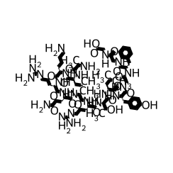 CC(C)C[C@H](NC(=O)[C@H](C)N)C(=O)N[C@@H](CCCCN)C(=O)N[C@@H](CCCN=C(N)N)C(=O)N[C@@H](CCC(N)=O)C(=O)NCC(=O)N[C@@H](CCCN=C(N)N)C(=O)N[C@H](C(=O)N[C@@H](CC(C)C)C(=O)N[C@@H](Cc1ccc(O)cc1)C(=O)NCC(=O)N[C@@H](Cc1ccccc1)C(=O)NCC(=O)NCC(=O)O)[C@@H](C)O